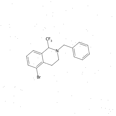 FC(F)(F)C1c2cccc(Br)c2CCN1Cc1ccccc1